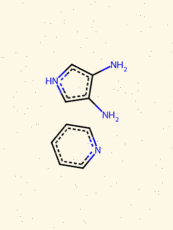 Nc1c[nH]cc1N.c1ccncc1